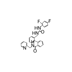 O=C(NCc1ccccc1-c1ccccc1C(=O)NCc1ccccn1)Nc1ccc(F)cc1F